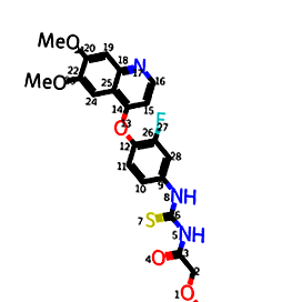 CCCCOCC(=O)NC(=S)Nc1ccc(Oc2ccnc3cc(OC)c(OC)cc23)c(F)c1